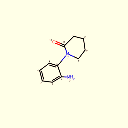 Nc1ccccc1N1CCCCC1=O